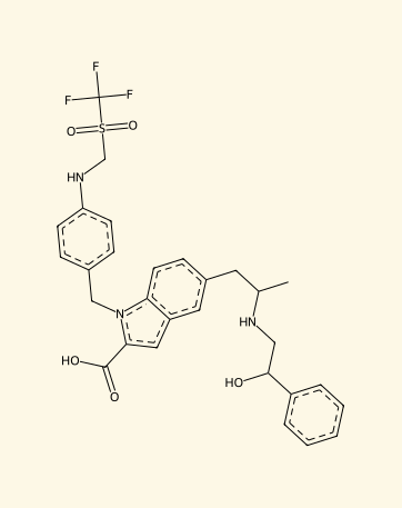 CC(Cc1ccc2c(c1)cc(C(=O)O)n2Cc1ccc(NCS(=O)(=O)C(F)(F)F)cc1)NCC(O)c1ccccc1